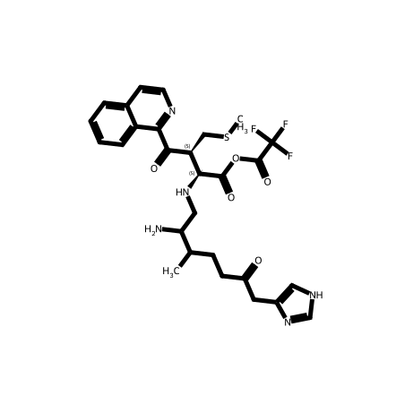 CSC[C@H](C(=O)c1nccc2ccccc12)[C@H](NCC(N)C(C)CCC(=O)Cc1c[nH]cn1)C(=O)OC(=O)C(F)(F)F